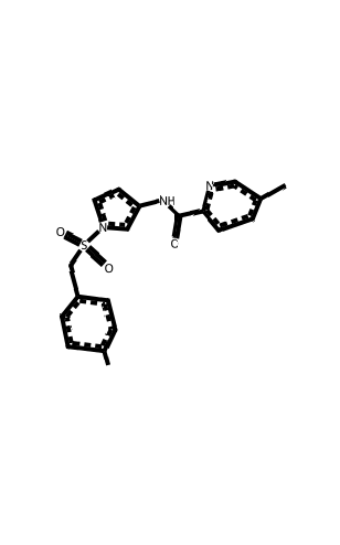 Cc1ccc(CS(=O)(=O)n2ccc(NC(=O)c3ccc(C)cn3)c2)cc1